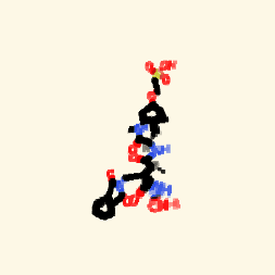 CNC(=O)[C@H](Cc1ccc(OCCS(=O)(=O)O)cc1)NC(=O)[C@H](C)C(CN1C(=O)c2ccccc2C1=O)C(=O)NO